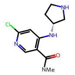 CNC(=O)c1cnc(Cl)cc1N[C@@H]1CCNC1